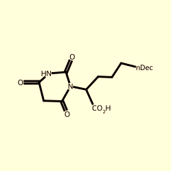 CCCCCCCCCCCCCC(C(=O)O)N1C(=O)CC(=O)NC1=O